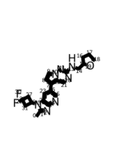 Cc1nc2ncc(-c3ccn4nc(NCC5CCCO5)ncc34)cc2n1C1CC(F)(F)C1